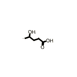 [CH2]C(O)C[CH]C(=O)O